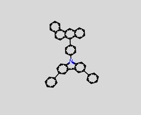 c1ccc(-c2ccc3c(c2)c2cc(-c4ccccc4)ccc2n3-c2ccc(-c3c4ccccc4cc4c3ccc3ccccc34)cc2)cc1